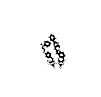 CN(CCOc1ccc(CC2SC(=O)NC2=O)cc1)c1ccccn1.Cc1oc(-c2ccccc2)nc1Cc1cc2cc(CC3OC(=O)NC3=O)ccc2o1